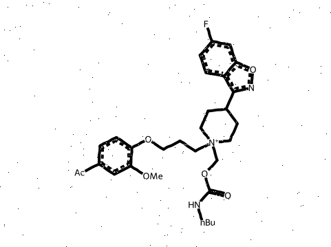 CCCCNC(=O)OC[N+]1(CCCOc2ccc(C(C)=O)cc2OC)CCC(c2noc3cc(F)ccc23)CC1